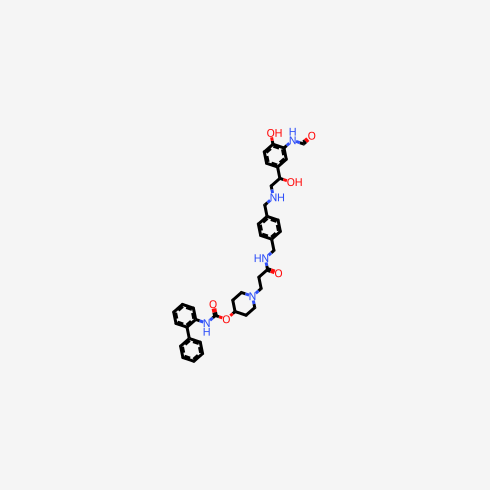 O=CNc1cc(C(O)CNCc2ccc(CNC(=O)CCN3CCC(OC(=O)Nc4ccccc4-c4ccccc4)CC3)cc2)ccc1O